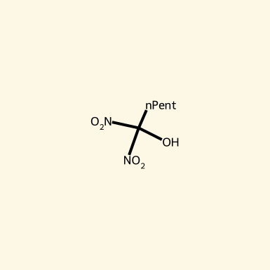 CCCCCC(O)([N+](=O)[O-])[N+](=O)[O-]